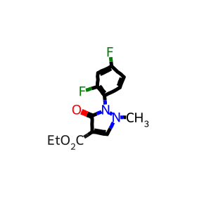 CCOC(=O)c1cn(C)n(-c2ccc(F)cc2F)c1=O